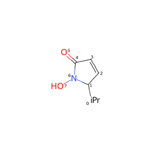 CC(C)C1C=CC(=O)N1O